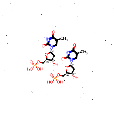 Cc1cn([C@H]2C[C@H](O)[C@@H](COP(=O)(O)O)O2)c(=O)[nH]c1=O.Cc1cn([C@H]2C[C@H](O)[C@@H](COP(=O)(O)O)O2)c(=O)[nH]c1=O